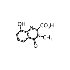 Cn1c(C(=O)O)nc2c(O)cccc2c1=O